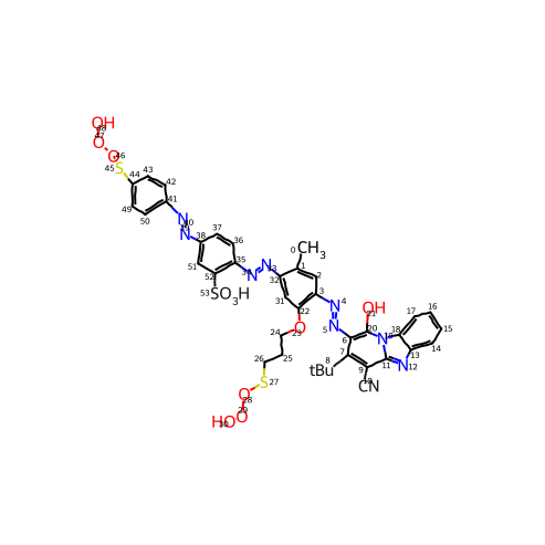 Cc1cc(N=Nc2c(C(C)(C)C)c(C#N)c3nc4ccccc4n3c2O)c(OCCCSOOO)cc1N=Nc1ccc(N=Nc2ccc(SOOO)cc2)cc1S(=O)(=O)O